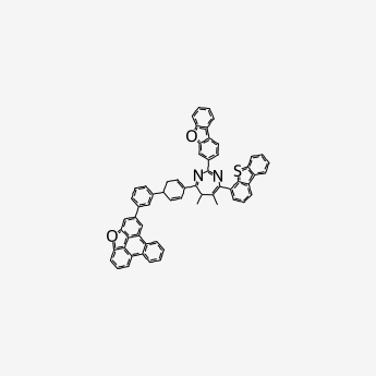 CC1=C(c2cccc3c2sc2ccccc23)N=C(c2ccc3c(c2)oc2ccccc23)N=C(C2=CCC(c3cccc(-c4cc5oc6cccc7c8ccccc8c(c4)c5c67)c3)C=C2)C1C